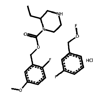 CCC1CNCCN1C(=O)OCc1cc(OC)ccc1F.Cl.FOCc1cccc(I)c1